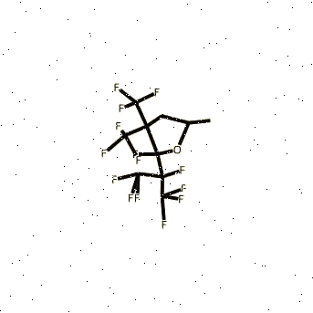 CC1CC(C(F)(F)F)(C(F)(F)F)C(F)(C(F)(C(F)(F)F)C(F)(F)F)O1